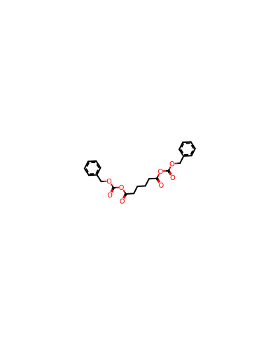 O=C(CCCCC(=O)OC(=O)OCc1ccccc1)OC(=O)OCc1ccccc1